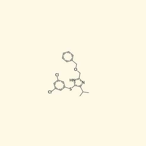 CC(C)c1nc(COCc2ccccc2)[nH]c1Sc1cc(Cl)cc(Cl)c1